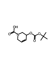 CC(C)(C)OC(=O)OC1C=CCN(C(=O)O)C1